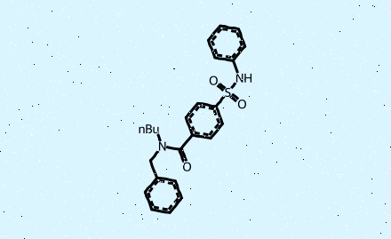 CCCCN(Cc1ccccc1)C(=O)c1ccc(S(=O)(=O)Nc2ccccc2)cc1